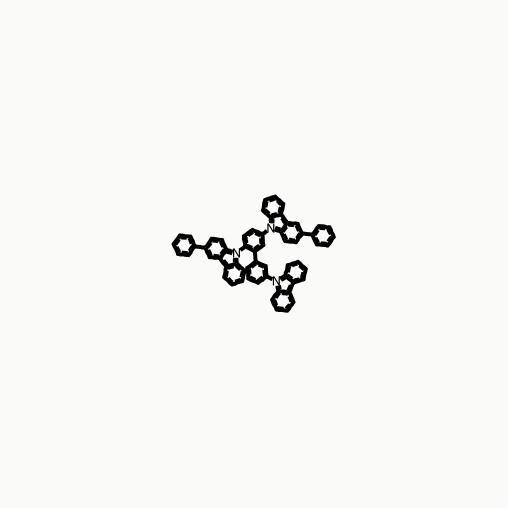 c1ccc(-c2ccc3c(c2)c2ccccc2n3-c2ccc(-n3c4ccccc4c4cc(-c5ccccc5)ccc43)c(-c3cccc(-n4c5ccccc5c5ccccc54)c3)c2)cc1